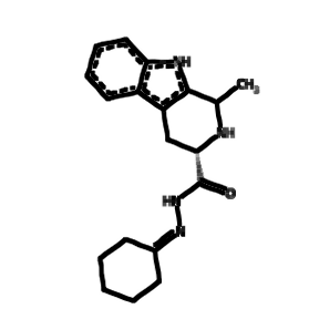 CC1N[C@H](C(=O)NN=C2CCCCC2)Cc2c1[nH]c1ccccc21